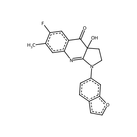 Cc1cc2c(cc1F)C(=O)C1(O)CCN(c3ccc4ccoc4c3)C1=N2